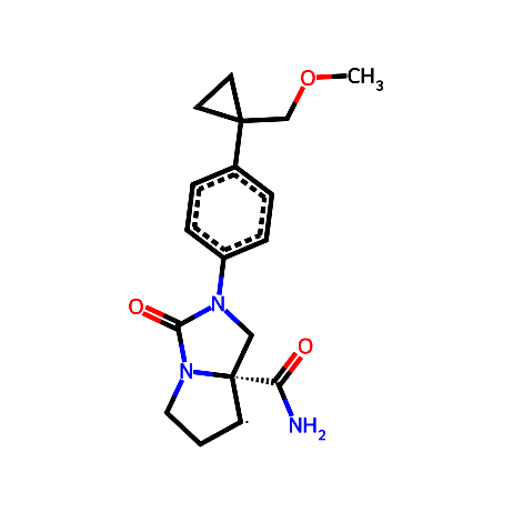 COCC1(c2ccc(N3C[C@@]4(C(N)=O)[CH]CCN4C3=O)cc2)CC1